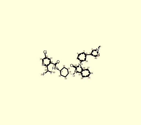 Cn1cc(-c2cccc(-n3c(=O)n(C[C@H]4CC[C@H](NC(=O)c5cc(Cl)cnc5C(F)F)CC4)c4ccccc43)c2)cn1